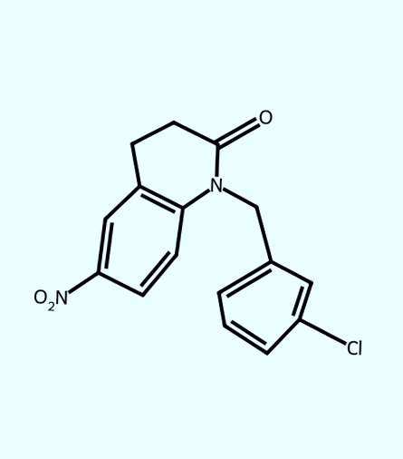 O=C1CCc2cc([N+](=O)[O-])ccc2N1Cc1cccc(Cl)c1